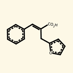 O=C(O)C(=Cc1ccccc1)Cc1ccco1